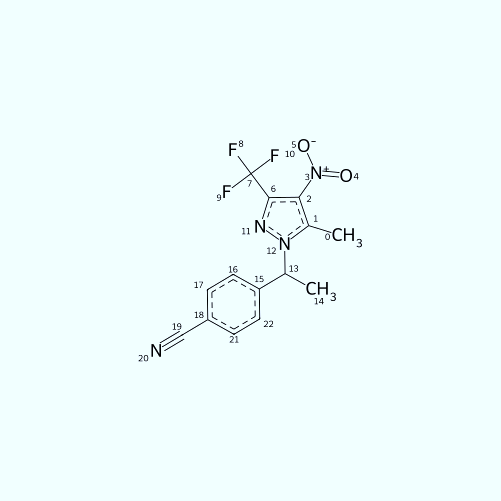 Cc1c([N+](=O)[O-])c(C(F)(F)F)nn1C(C)c1ccc(C#N)cc1